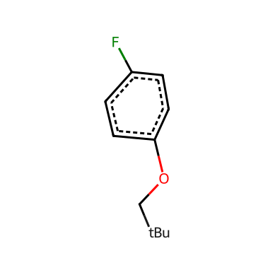 CC(C)(C)COc1ccc(F)cc1